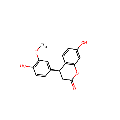 COc1cc([C@@H]2CC(=O)Oc3cc(O)ccc32)ccc1O